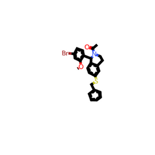 COc1cc(Br)ccc1C1c2ccc(SCc3ccccc3)cc2CCN1C(C)=O